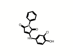 O=C1C=C(Nc2ccc(O)c(Cl)c2)C(=O)N1c1ccccc1